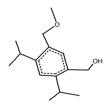 COCc1cc(CO)c(C(C)C)cc1C(C)C